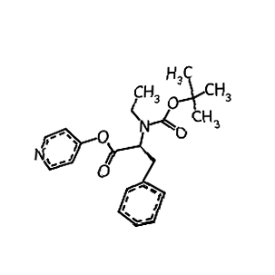 CCN(C(=O)OC(C)(C)C)[C@@H](Cc1ccccc1)C(=O)Oc1ccncc1